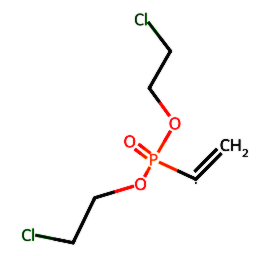 C=[C]P(=O)(OCCCl)OCCCl